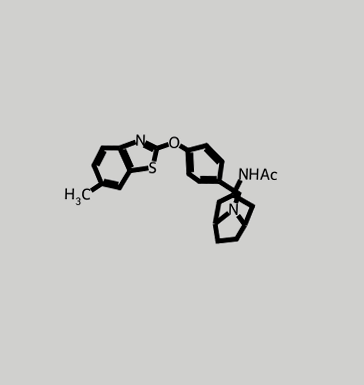 CC(=O)NC1CC2CCC(C1)N2Cc1ccc(Oc2nc3ccc(C)cc3s2)cc1